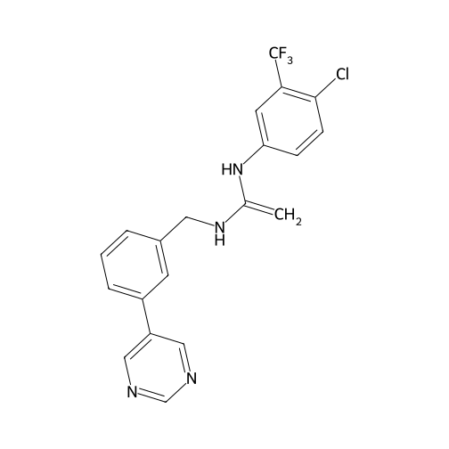 C=C(NCc1cccc(-c2cncnc2)c1)Nc1ccc(Cl)c(C(F)(F)F)c1